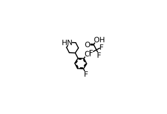 Fc1ccc(C2CCNCC2)c(Cl)c1.O=C(O)C(F)(F)F